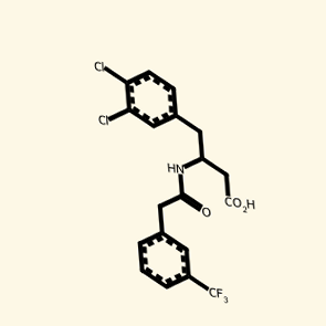 O=C(O)CC(Cc1ccc(Cl)c(Cl)c1)NC(=O)Cc1cccc(C(F)(F)F)c1